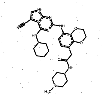 CN1CCC(NC(=O)Cc2ccc(Nc3nc(NC4CCCCC4)c4c(C#N)c[nH]c4n3)c3c2OCCO3)CC1